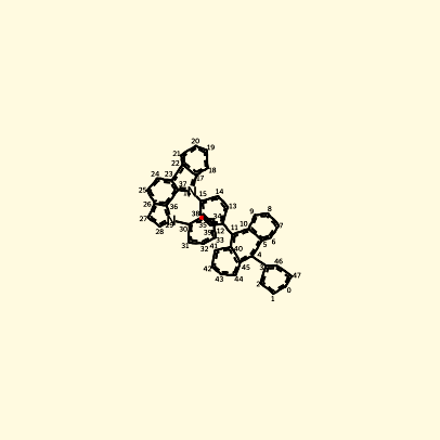 c1ccc(-c2c3ccccc3c(-c3ccc(-n4c5ccccc5c5ccc6ccn(-c7ccccc7)c6c54)cc3)c3ccccc23)cc1